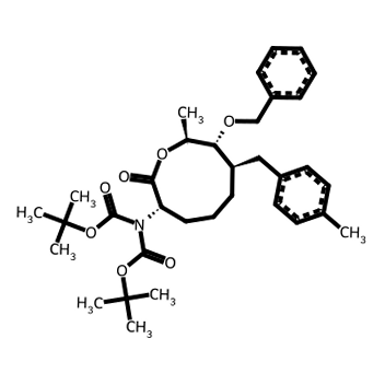 Cc1ccc(C[C@H]2CCC[C@H](N(C(=O)OC(C)(C)C)C(=O)OC(C)(C)C)C(=O)O[C@@H](C)[C@@H]2OCc2ccccc2)cc1